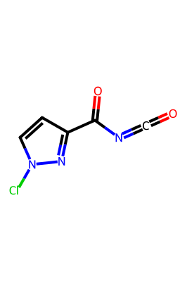 O=C=NC(=O)c1ccn(Cl)n1